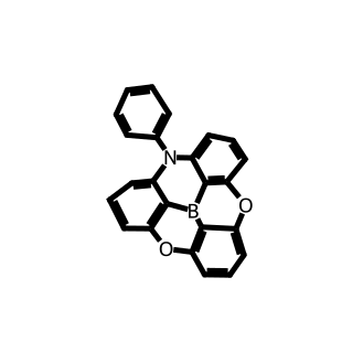 c1ccc(N2c3cccc4c3B3c5c(cccc5Oc5cccc2c53)O4)cc1